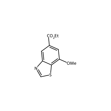 CCOC(=O)c1cc(OC)c2scnc2c1